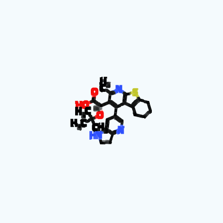 Cc1nc2sc3c(c2c(-c2cnc4cc[nH]c4c2)c1[C@H](OC(C)(C)C)C(=O)O)CCCC3